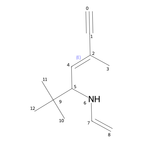 C#C/C(C)=C/C(NC=C)C(C)(C)C